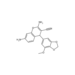 COc1cc(C2C(C#N)=C(N)Oc3cc(N)ccc32)cc2c1OCO2